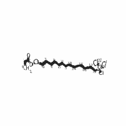 C=CC(=O)OOCCCCCCCCCCCCC[Si](Cl)(Cl)Cl